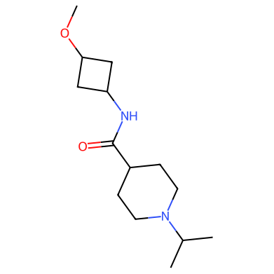 COC1CC(NC(=O)C2CCN(C(C)C)CC2)C1